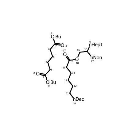 CC(C)COC(=O)CCCCC(=O)OCC(C)C.CCCCCCCCCCCCCCCC(=O)OCC(CCCCCCC)CCCCCCCCC